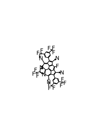 N#CC(C#N)=C1C(c2cc(C(F)(F)F)cc(C(F)(F)F)c2)=C(C#N)c2c(F)c3c(c(-c4ccc(C(F)(F)F)cc4)c21)C(=C(C#N)C#N)C(c1cc(C(F)(F)F)cc(C(F)(F)F)c1)=C3C#N